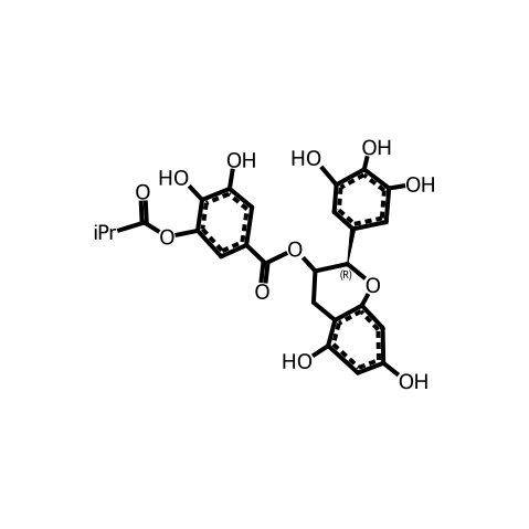 CC(C)C(=O)Oc1cc(C(=O)OC2Cc3c(O)cc(O)cc3O[C@@H]2c2cc(O)c(O)c(O)c2)cc(O)c1O